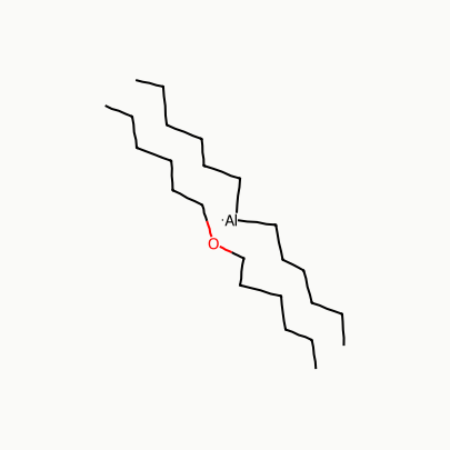 CCCCCCOCCCCCC.CCCCC[CH2][Al][CH2]CCCCC